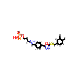 Cc1ccc(CSc2nnc(-c3ccc(CNCCCO[PH](=O)O)cc3)o2)cc1C